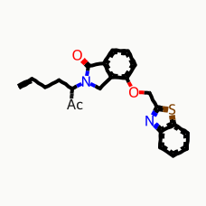 C=CCCC(C(C)=O)N1Cc2c(OCc3nc4ccccc4s3)cccc2C1=O